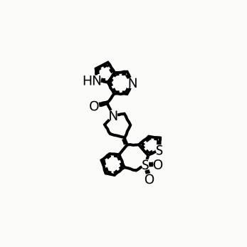 O=C(c1cncc2cc[nH]c12)N1CCC(=C2c3ccccc3CS(=O)(=O)c3sccc32)CC1